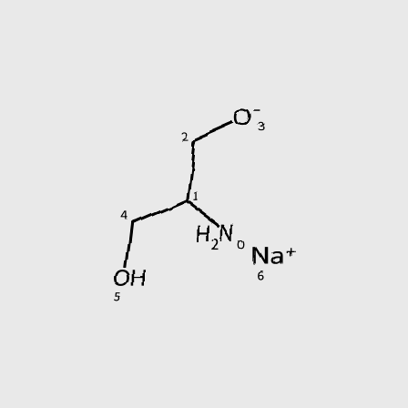 NC(C[O-])CO.[Na+]